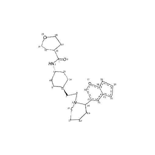 O=C(N[C@H]1CC[C@H](CCN2CCCCC2c2coc3cccc-3c2)CC1)C1CCOCC1